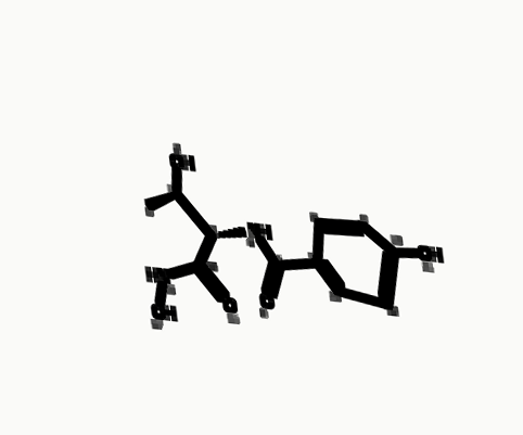 C[C@@H](O)[C@H](NC(=O)c1ccc(O)cc1)C(=O)NO